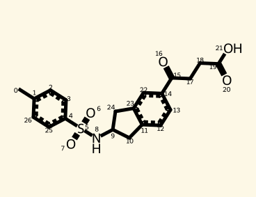 Cc1ccc(S(=O)(=O)NC2Cc3ccc(C(=O)CCC(=O)O)cc3C2)cc1